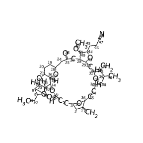 C=C1CC2CC[C@@H]3OC4C(CC)O[C@H]5C(O3)[C@H]3OC(CCC3O[C@@H]45)CC(=O)CC3C(C[C@H]4O[C@@H](CCC1O2)CC(C)C4=C)OC(CCC#N)[C@@H]3OC